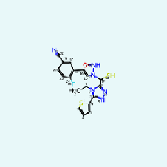 CCn1c(-c2cccs2)nnc1C(S)N1C=C(c2cc(C#N)ccc2F)ON1